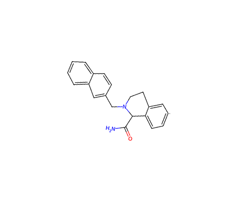 NC(=O)C1c2cc[c]cc2CCN1Cc1ccc2ccccc2c1